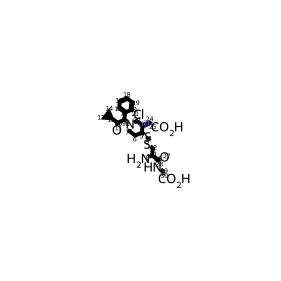 NC(CSSC1CCN(C(C(=O)C2CC2)c2ccccc2Cl)C/C1=C/C(=O)O)C(=O)NCC(=O)O